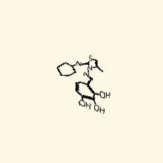 Cc1csc(=NC2CCCCC2)n1/N=C/c1ccc(O)c(O)c1O